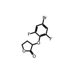 O=C1OCCC1Oc1c(F)cc(Br)cc1F